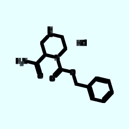 Cl.NC(=O)C1CNCCN1C(=O)OCc1ccccc1